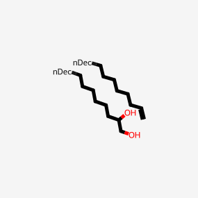 C=CCCCCCCCCCCCCCCCC.CCCCCCCCCCCCCCCCC(O)CO